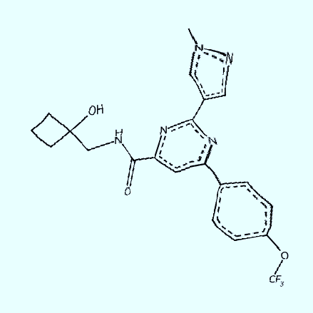 Cn1cc(-c2nc(C(=O)NCC3(O)CCC3)cc(-c3ccc(OC(F)(F)F)cc3)n2)cn1